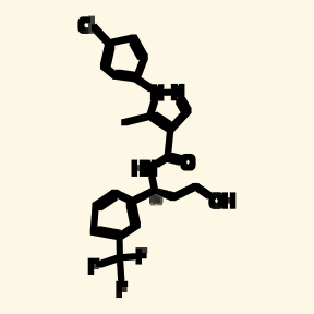 Cc1c(C(=O)N[C@@H](CCO)c2cccc(C(F)(F)F)c2)cnn1-c1ccc(Cl)cc1